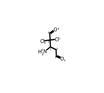 NC(CC=O)C(Cl)(Cl)C=O